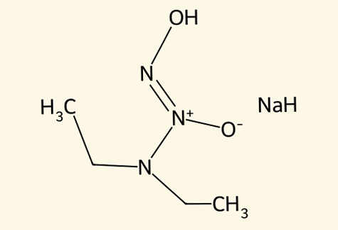 CCN(CC)[N+]([O-])=NO.[NaH]